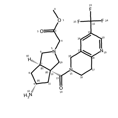 COC(=O)CN1C[C@@H]2C[C@@H](N)C[C@]2(C(=O)N2CCc3ncc(C(F)(F)F)cc3C2)C1